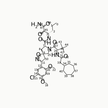 CCC[C@H](NC(=O)[C@@H]1C[C@]2(CC(c3cc(Cl)c(OC)cc3OC)=NO2)CN1C(=O)[C@@H](NC(=O)CC1CCCCCC1)C(C)(C)C)C(=O)C(N)=O